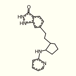 O=c1[nH][nH]c2cc(CCC3CCCC3Nc3ccccn3)ccc12